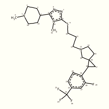 CN1CCC(c2nnc(SCCCN3CCC4(CC4c4ccc(C(F)(F)F)cc4F)C3)n2C)CC1